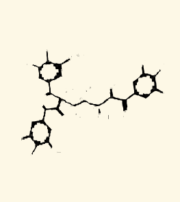 O=C(C(=O)[C@@](O)(C(=O)c1cc(O)c(O)c(O)c1)[C@@H](O)[C@H](O)[C@H](O)C(O)C(=O)c1cc(O)c(O)c(O)c1)c1cc(O)c(O)c(O)c1